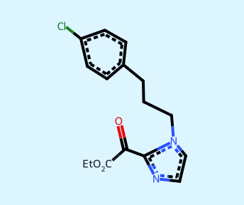 CCOC(=O)C(=O)c1nccn1CCCc1ccc(Cl)cc1